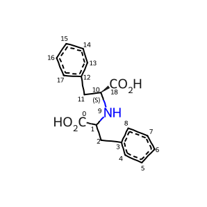 O=C(O)C(Cc1ccccc1)N[C@@H](Cc1ccccc1)C(=O)O